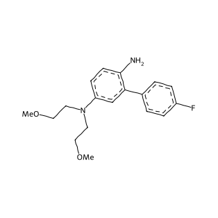 COCCN(CCOC)c1ccc(N)c(-c2ccc(F)cc2)c1